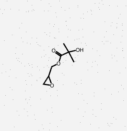 CC(C)(O)C(=O)OCC1CO1